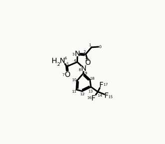 CCC1=NC(C(N)=O)N(c2cccc(C(F)(F)F)c2)O1